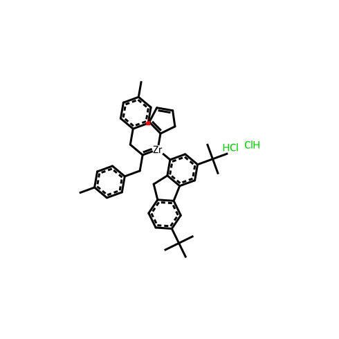 Cc1ccc(C[C](Cc2ccc(C)cc2)=[Zr]([C]2=CC=CC2)[c]2cc(C(C)(C)C)cc3c2Cc2ccc(C(C)(C)C)cc2-3)cc1.Cl.Cl